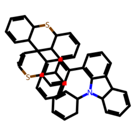 C1=CCC(C2=CC=CC3SC4C=CC=CC4C4(c5ccccc5Sc5ccc(-c6cccc7c6N(C6C=CC=CC6)C6C=CC=CC76)cc54)C23)C=C1